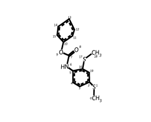 CSc1ccc(NC(=O)Oc2ccccc2)c(SC)c1